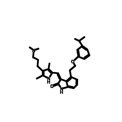 Cc1[nH]c(C=C2C(=O)Nc3cccc(CCOc4cccc(C(C)C)c4)c32)c(C)c1CCCN(C)C